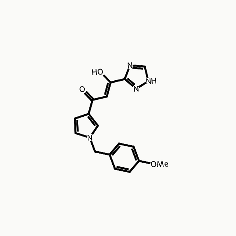 COc1ccc(Cn2ccc(C(=O)C=C(O)c3nc[nH]n3)c2)cc1